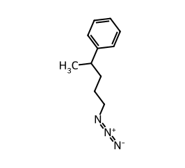 CC(CCCN=[N+]=[N-])c1ccccc1